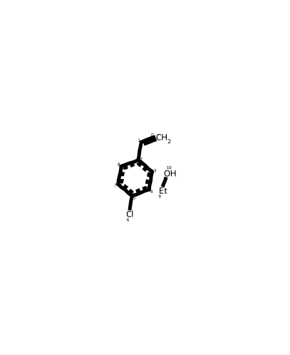 C=Cc1ccc(Cl)cc1.CCO